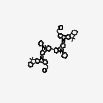 CC1(C)c2ccccc2-c2cc3c4cc(CC5CO5)ccc4n(-c4ccc5c(c4)c4cc(-c6ccc7c(c6)c6cc(-n8c9ccc(CC%10CO%10)cc9c9cc%10c(cc98)C(C)(C)C8CCCCC%108)ccc6n7-c6ccccc6)ccc4n5-c4ccccc4)c3cc21